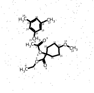 CCOC(=O)C1(OC(C)=O)CCC(OC)CC1.Cc1cc(C)cc(C)c1